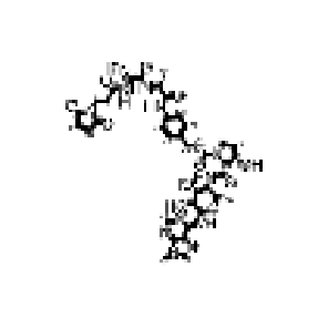 CC(C)[C@H](NC(=O)CCN1C(=O)C=CC1=O)C(=O)N[C@@H](C)C(=O)Nc1ccc(COC(=O)N2CC[C@H](O)[C@@H]2C(=O)N[C@@H]2[C@@H](O)[C@H](O)[C@@H](Nc3ncnc4c3ncn4C)O[C@H]2C)cc1